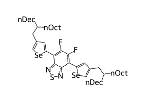 CCCCCCCCCCC(CCCCCCCC)Cc1c[se]c(-c2c(F)c(F)c(-c3cc(CC(CCCCCCCC)CCCCCCCCCC)c[se]3)c3nsnc23)c1